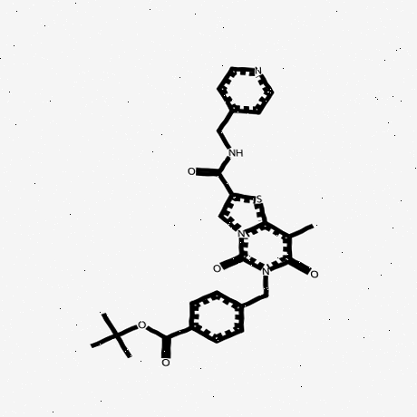 Cc1c(=O)n(Cc2ccc(C(=O)OC(C)(C)C)cc2)c(=O)n2cc(C(=O)NCc3ccncc3)sc12